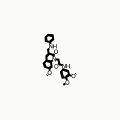 COc1ccc2cc(CNc3ccccc3)c(=O)n(CC(=O)Nc3ccc(OC)c(OC)c3)c2c1